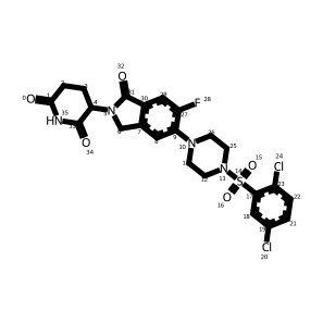 O=C1CCC(N2Cc3cc(N4CCN(S(=O)(=O)c5cc(Cl)ccc5Cl)CC4)c(F)cc3C2=O)C(=O)N1